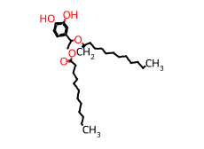 C=C(CCCCCCCCCCC)OC(COC(=O)CCCCCCCCCCC)c1ccc(O)c(O)c1